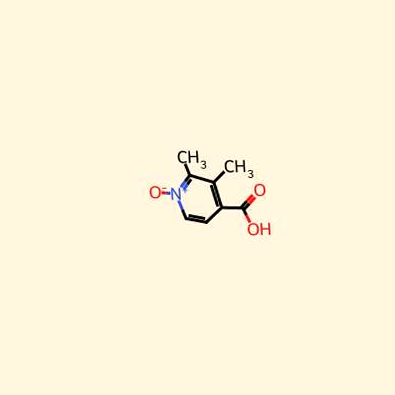 Cc1c(C(=O)O)cc[n+]([O-])c1C